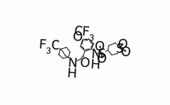 O=S1(=O)CCC(S(=O)(=O)Nc2ccc(OC(F)(F)F)cc2C2OC2NC23CCC(C(F)(F)F)(CC2)CC3)CC1